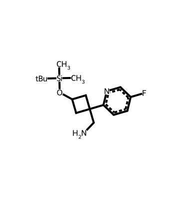 CC(C)(C)[Si](C)(C)OC1CC(CN)(c2ccc(F)cn2)C1